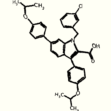 CC(C)Oc1ccc(-c2ccc3c(-c4ccc(OC(C)C)cc4)c(C(=O)O)n(Cc4cccc(Cl)c4)c3c2)cc1